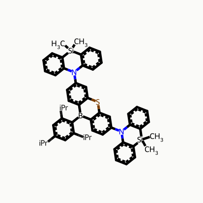 CC(C)c1cc(C(C)C)c(B2c3ccc(N4c5ccccc5[Si](C)(C)c5ccccc54)cc3Sc3cc(N4c5ccccc5[Si](C)(C)c5ccccc54)ccc32)c(C(C)C)c1